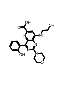 O=C(O)c1cc(NCCO)c2nc(N3CCOCC3)nc(-c3ccccc3O)c2n1